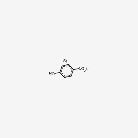 O=C(O)c1ccc(O)cc1.[Fe]